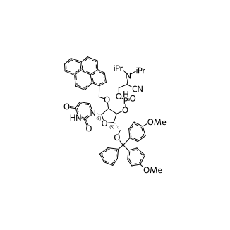 COc1ccc(C(OC[C@@H]2O[C@H](n3ccc(=O)[nH]c3=O)C(OCc3ccc4ccc5cccc6ccc3c4c56)C2O[PH](=O)OCC(C#N)N(C(C)C)C(C)C)(c2ccccc2)c2ccc(OC)cc2)cc1